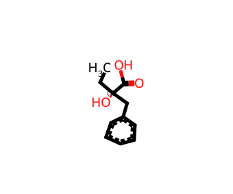 CC[C@](O)(Cc1ccccc1)C(=O)O